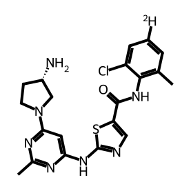 [2H]c1cc(C)c(NC(=O)c2cnc(Nc3cc(N4CC[C@H](N)C4)nc(C)n3)s2)c(Cl)c1